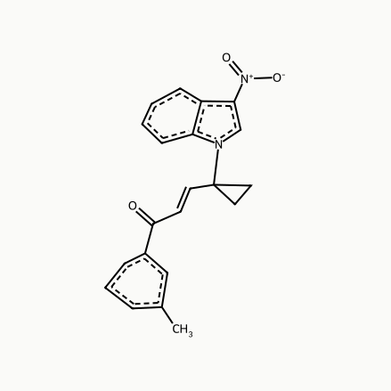 Cc1cccc(C(=O)/C=C/C2(n3cc([N+](=O)[O-])c4ccccc43)CC2)c1